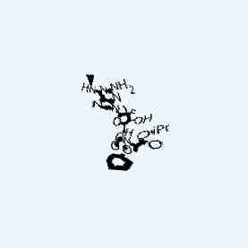 CC(C)OC(=O)C(C)NP(=O)(OC[C@H]1O[C@@H](n2cnc3c(NC4CC4)nc(N)nc32)[C@](C)(F)[C@@H]1O)Oc1ccccc1